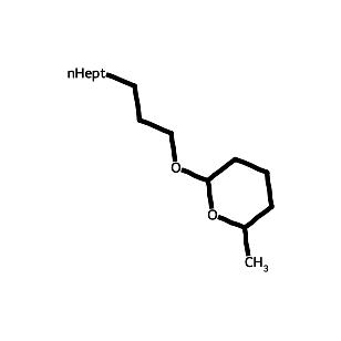 CCCCCCCCCCOC1CCCC(C)O1